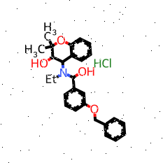 CCN(C(O)c1cccc(OCc2ccccc2)c1)C1c2ccccc2OC(C)(C)C1O.Cl